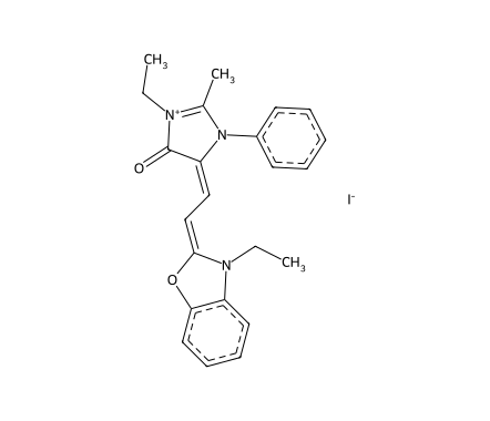 CCN1C(=CC=C2C(=O)[N+](CC)=C(C)N2c2ccccc2)Oc2ccccc21.[I-]